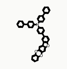 c1ccc(-c2ccc(N(c3ccc(-c4ccccc4)cc3)c3ccc(-c4ccc5oc6cc7c(cc6c5c4)Oc4ccccc4O7)cc3)cc2)cc1